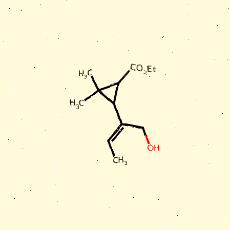 CC=C(CO)C1C(C(=O)OCC)C1(C)C